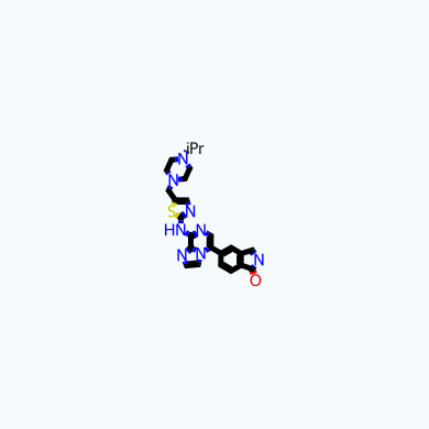 CC(C)N1CCN(Cc2cnc(Nc3ncc(-c4ccc5c(c4)C=NC5=O)n4ccnc34)s2)CC1